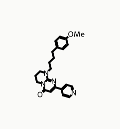 COc1ccc(CCCCN2CCCn3c2nc(-c2ccncc2)cc3=O)cc1